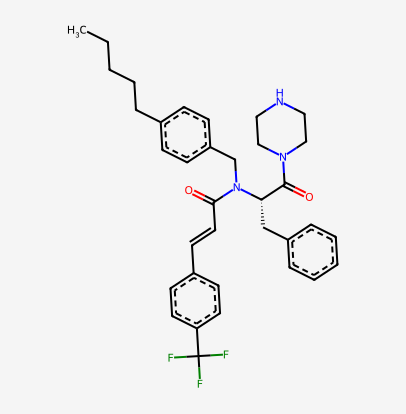 CCCCCc1ccc(CN(C(=O)C=Cc2ccc(C(F)(F)F)cc2)[C@@H](Cc2ccccc2)C(=O)N2CCNCC2)cc1